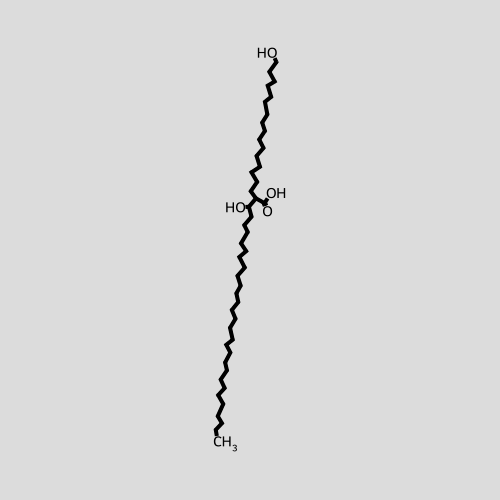 CCCCCCCCCCCCCCCCCCCCCCCCCCCC(O)C(CCCCCCCCCCCCCCCCO)C(=O)O